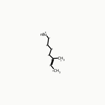 C/C=C(\C)CCCCCCCC